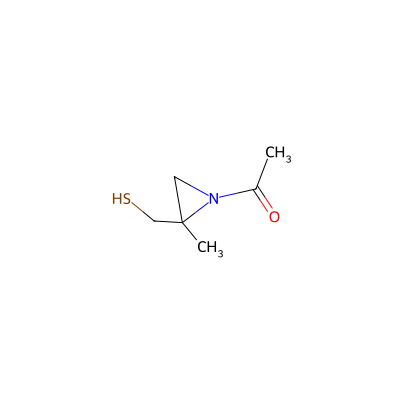 CC(=O)N1CC1(C)CS